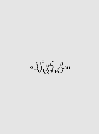 CCc1nc(Nc2ccc(O)c(Cl)c2)c2ncn([C@@H]3O[C@H](COC)[C@@H](O)[C@H]3O)c2n1